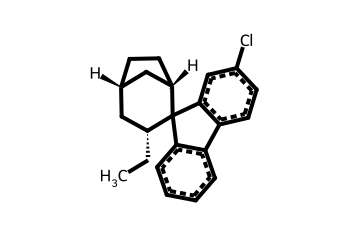 CC[C@@H]1C[C@@H]2CC[C@@H](C2)C12c1ccccc1-c1ccc(Cl)cc12